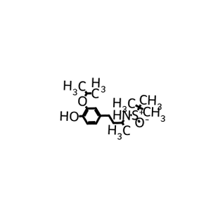 CC(CCc1ccc(O)c(OC(C)C)c1)N[S+]([O-])C(C)(C)C